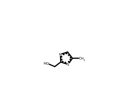 Cc1cnc(CO)s1